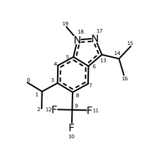 CC(C)c1cc2c(cc1C(F)(F)F)c(C(C)C)nn2C